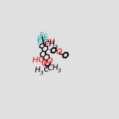 CC1(C)COC2(CCC3=C4C(CC[C@@]3(O)C2)C2CC[C@@](O)(C(F)(F)C(F)(F)F)[C@@]2(C)C[C@@H]4c2ccc(OCc3ccccc3)cc2)OC1